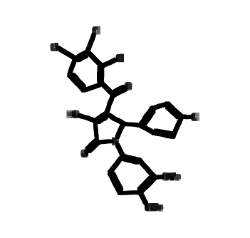 COc1ccc(N2C(=O)C(O)=C(C(=O)c3ccc(Cl)c(Cl)c3Cl)C2c2ccc(Cl)cc2)cc1OC